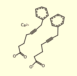 O=C([O-])CCCC#CCc1ccccc1.O=C([O-])CCCC#CCc1ccccc1.[Ca+2]